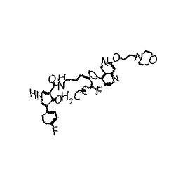 C=C=C(F)/C(=C\CCNC(=O)c1c[nH]cc(-c2ccc(F)cc2)c1=O)Oc1ccnc2cc(OCCN3CCOCC3)ncc12